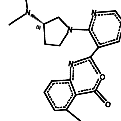 Cc1cccc2nc(-c3cccnc3N3CC[C@H](N(C)C)C3)oc(=O)c12